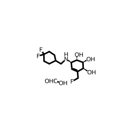 O=CO.O[C@@H]1[C@@H](O)[C@@H](O)C(CF)=C[C@H]1NCC1CCC(F)(F)CC1